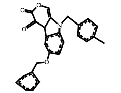 Cc1ccc(CN2C3=COC(=O)C(=O)C3c3cc(OCc4ccccc4)ccc32)cc1